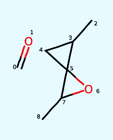 C=O.CC1CC12OC2C